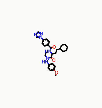 CCN(Nc1ccc(OC)cc1)C(=O)C(CCC1CCCCC1)NC(=O)c1ccc(-n2cncn2)cc1